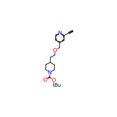 C#Cc1cc(COCCC2CCN(C(=O)OC(C)(C)C)CC2)ccn1